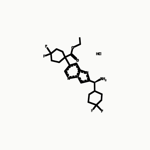 CCOC(=O)C1(c2cnn3cc([C@@H](N)C4CCC(F)(F)CC4)nc3c2)CCC(F)(F)CC1.Cl